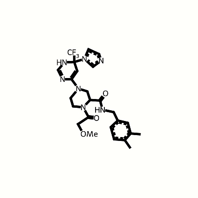 COCC(=O)N1CCN(C2=CC(n3ccnc3)(C(F)(F)F)NC=N2)CC1C(=O)NCc1ccc(C)c(C)c1